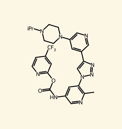 Cc1ncc(NC(=O)Oc2cc(C(F)(F)F)ccn2)cc1-n1cc(-c2cncc(N3CCN(C(C)C)CC3)c2)nn1